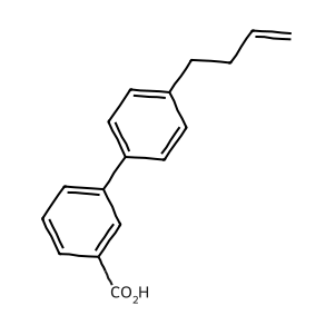 C=CCCc1ccc(-c2cccc(C(=O)O)c2)cc1